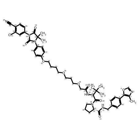 Cc1ncoc1-c1ccc(CNC(=O)[C@@H]2CCCN2C(=O)[C@@H](NC(=O)COCCCOCCCCOc2ccc(N3C(=S)N(c4ccc(C#N)c(Cl)c4)C(=O)C3(C)C)cc2)C(C)(C)C)cc1